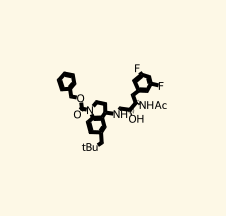 CC(=O)N[C@@H](Cc1cc(F)cc(F)c1)[C@H](O)CNC1CCN(C(=O)OCc2ccccc2)c2ccc(CC(C)(C)C)cc21